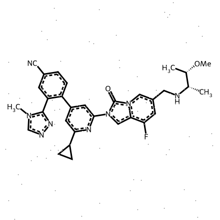 CO[C@@H](C)[C@H](C)NCc1cc(F)c2cn(-c3cc(-c4ccc(C#N)cc4-c4nncn4C)cc(C4CC4)n3)c(=O)n2c1